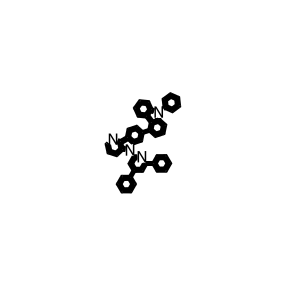 c1ccc(-c2cc(-c3ccccc3)nc(-n3c4cc(-c5cccc6c5c5ccccc5n6-c5ccccc5)ccc4c4ncccc43)c2)cc1